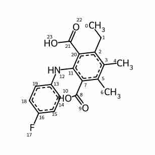 CCc1c(C)c(C)c(C(=O)O)c(Nc2ccc(F)cc2)c1C(=O)O